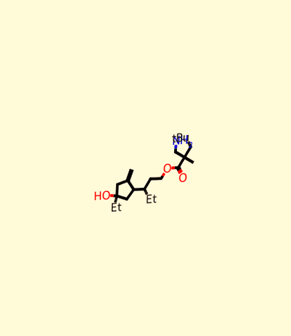 C=C1CC(O)(CC)CC1C(CC)CCOC(=O)C(C)(CN)CC(C)(C)C